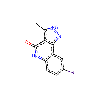 Cc1[nH]nc2c1c(=O)[nH]c1ccc(I)cc12